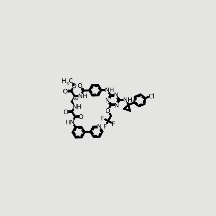 COC(=O)[C@H](CNC(=O)C(=O)Nc1cccc(-c2cccnc2)c1)NC(=O)c1ccc(Nc2nc(NC3(c4ccc(Cl)cc4)CC3)nc(OCC(F)(F)F)n2)cc1